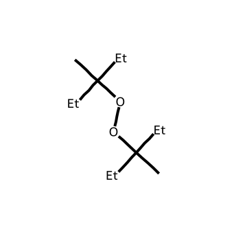 CCC(C)(CC)OOC(C)(CC)CC